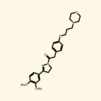 COc1ccc(C2=NN(C(=O)Cc3ccc(OCCCN4CCOCC4)cc3)CC2)cc1OC